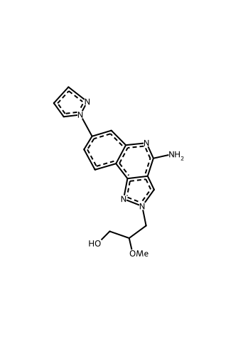 COC(CO)Cn1cc2c(N)nc3cc(-n4cccn4)ccc3c2n1